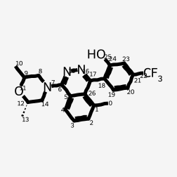 Cc1cccc2c(N3CC(C)O[C@@H](C)C3)nnc(-c3ccc(C(F)(F)F)cc3O)c12